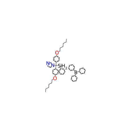 CCCCCCOc1ccc(C([SiH2]c2ccccc2)(c2ccc(OCCCCCC)cc2)n2ccnc2)cc1.c1ccc(B(c2ccccc2)c2ccccc2)cc1